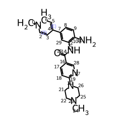 C=N/C=C\C(=C/C)c1ccc(N)c(NC(=O)c2ccc(N3CCN(C)CC3)nc2)c1